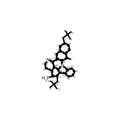 Cc1c2ccc(CC(C)(C)C)cc2cc2c3nccc4c(P)c(CC(C)(C)C)c5c6ccccc6n(c12)c5c43